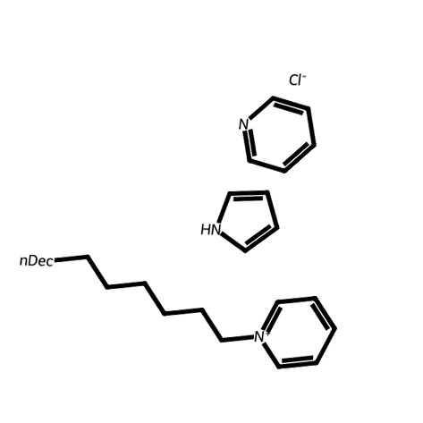 CCCCCCCCCCCCCCCC[n+]1ccccc1.[Cl-].c1cc[nH]c1.c1ccncc1